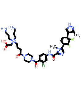 Cc1n[nH]cc1-c1ccc(-c2cnc(C(=O)Nc3ccc(C(=O)N4CCN(C(=O)CCC[N+](CCCN)(CCCN)CC(=O)O)CC4)c(Cl)c3)n2C)c(F)c1F